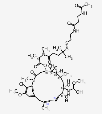 COc1cc2cc(c1Cl)N(C)C(=O)C[C@H](OC(=O)[C@H](C)N(C)C(=O)CCC(C)(C)SSCCNC(=O)CCNC(C)=O)[C@]1(C)O[C@H]1[C@H](C)C[C@@](O)(NC(O)OC)[C@H](O)/C=C/C=C(\C)C2